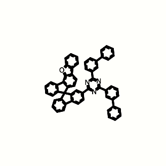 c1ccc(-c2cccc(-c3nc(-c4cccc(-c5ccccc5)c4)nc(-c4ccc5c(c4)C4(c6ccccc6-5)c5ccccc5-c5c4ccc4c5oc5ccccc54)n3)c2)cc1